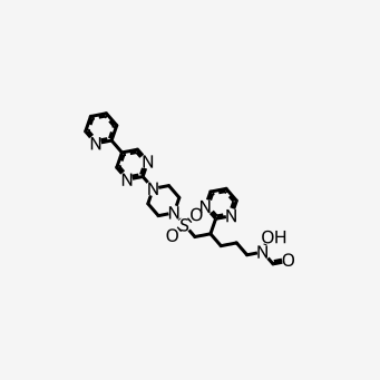 O=CN(O)CCCC(CS(=O)(=O)N1CCN(c2ncc(-c3ccccn3)cn2)CC1)c1ncccn1